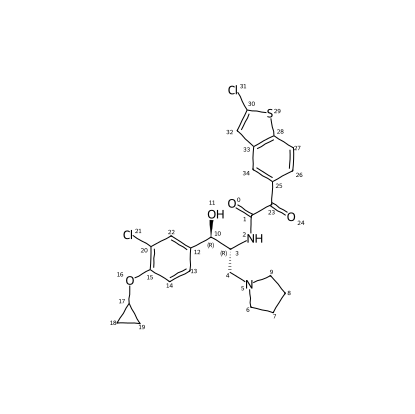 O=C(N[C@H](CN1CCCC1)[C@H](O)c1ccc(OC2CC2)c(Cl)c1)C(=O)c1ccc2sc(Cl)cc2c1